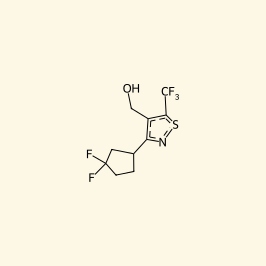 OCc1c(C2CCC(F)(F)C2)nsc1C(F)(F)F